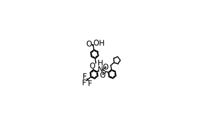 O=C(O)c1ccc(COc2cc(C(F)(F)F)ccc2NS(=O)(=O)c2ccccc2CC2CCCC2)cc1